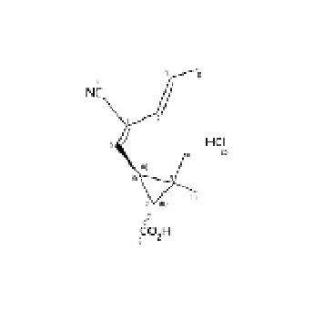 CC=CC(C#N)=C[C@@H]1[C@@H](C(=O)O)C1(C)C.Cl